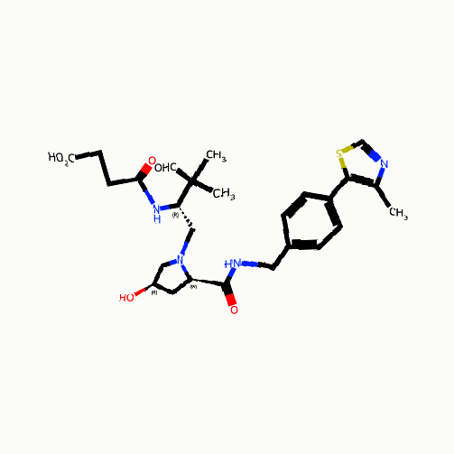 Cc1ncsc1-c1ccc(CNC(=O)[C@H]2C[C@@H](O)CN2C[C@H](NC(=O)CCC(=O)O)C(C)(C)C=O)cc1